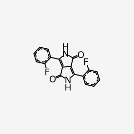 O=C1NC(c2ccccc2F)=C2C(=O)NC(c3ccccc3F)=C12